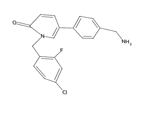 NCc1ccc(-c2ccc(=O)n(Cc3ccc(Cl)cc3F)c2)cc1